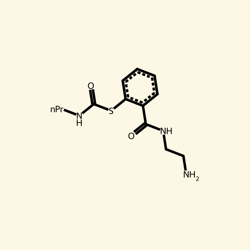 CCCNC(=O)Sc1ccccc1C(=O)NCCN